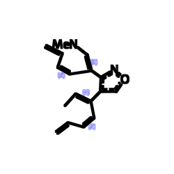 C=C/C=C\C(=C/C)c1conc1C(/C=C\C=C)=C/NC